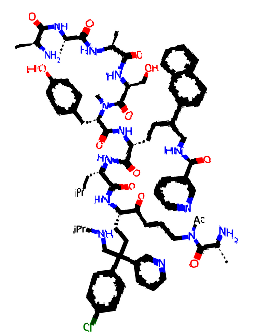 CC(=O)N(CCCC(=O)[C@H](CCC(CNC(C)C)(c1ccc(Cl)cc1)c1cccnc1)NC(=O)[C@H](CC(C)C)NC(=O)[C@@H](CCC(CNC(=O)c1cccnc1)c1ccc2ccccc2c1)NC(=O)[C@H](Cc1ccc(O)cc1)N(C)C(=O)[C@H](CO)NC(=O)[C@H](C)NC(=O)[C@H](C)NC(=O)[C@H](C)N)C(=O)[C@@H](C)N